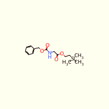 C[Si](C)(C)CCOC(=O)CNC(=O)OCc1ccccc1